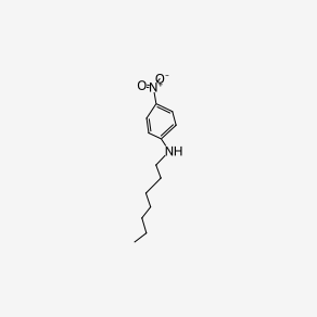 CCCCCCCNc1ccc([N+](=O)[O-])cc1